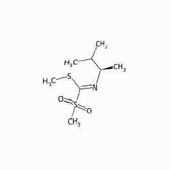 CS/C(=N\[C@H](C)C(C)C)S(C)(=O)=O